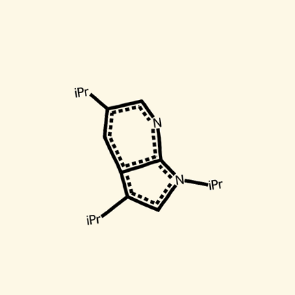 CC(C)c1cnc2c(c1)c(C(C)C)cn2C(C)C